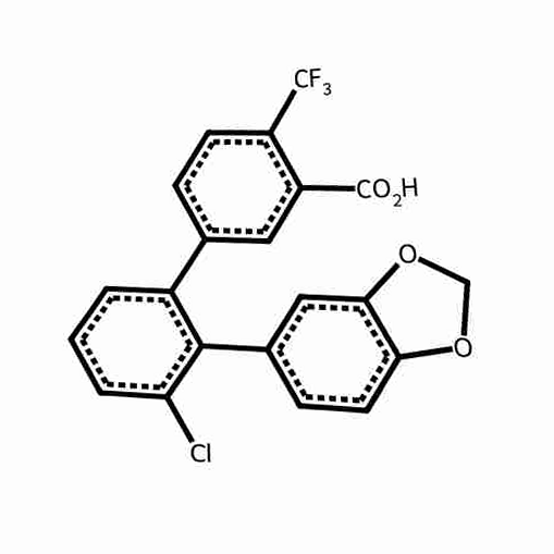 O=C(O)c1cc(-c2cccc(Cl)c2-c2ccc3c(c2)OCO3)ccc1C(F)(F)F